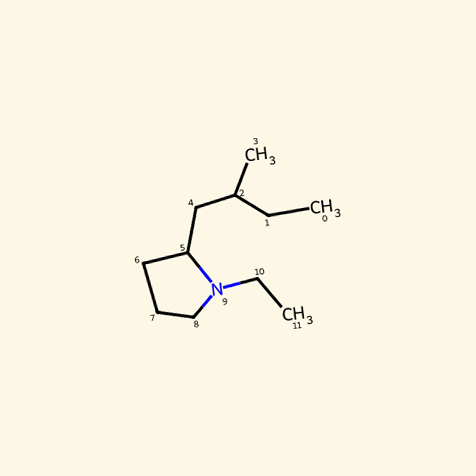 CCC(C)CC1CCCN1CC